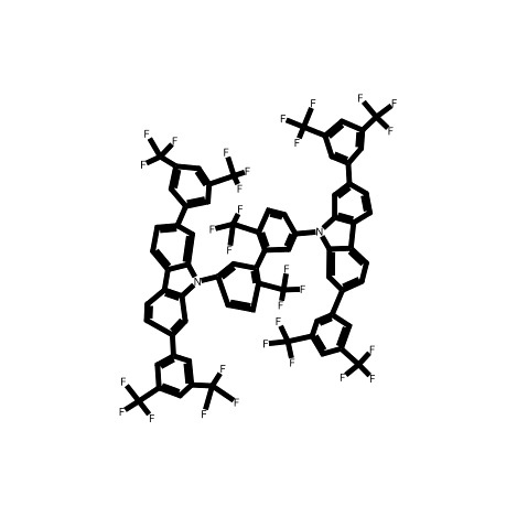 FC(F)(F)c1cc(-c2ccc3c4ccc(-c5cc(C(F)(F)F)cc(C(F)(F)F)c5)cc4n(-c4ccc(C(F)(F)F)c(-c5cc(-n6c7cc(-c8cc(C(F)(F)F)cc(C(F)(F)F)c8)ccc7c7ccc(-c8cc(C(F)(F)F)cc(C(F)(F)F)c8)cc76)ccc5C(F)(F)F)c4)c3c2)cc(C(F)(F)F)c1